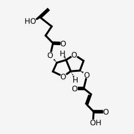 C=C(O)CCC(=O)O[C@H]1CO[C@H]2[C@@H]1OC[C@@H]2OC(=O)/C=C/C(=O)O